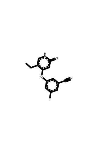 CCc1c[nH]c(=O)cc1Oc1cc(Cl)cc(C#N)c1